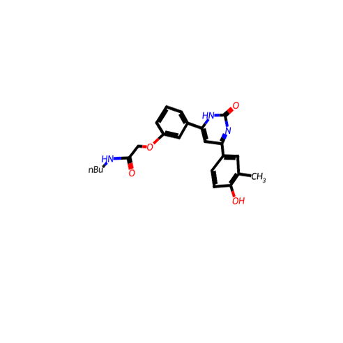 CCCCNC(=O)COc1cccc(-c2cc(-c3ccc(O)c(C)c3)nc(=O)[nH]2)c1